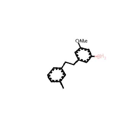 Bc1cc(CCc2cccc(C)c2)cc(OC)c1